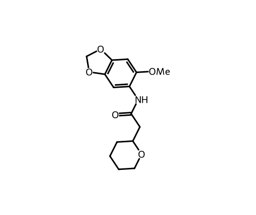 COc1cc2c(cc1NC(=O)CC1CCCCO1)OCO2